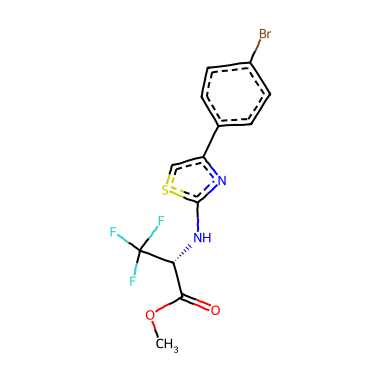 COC(=O)[C@@H](Nc1nc(-c2ccc(Br)cc2)cs1)C(F)(F)F